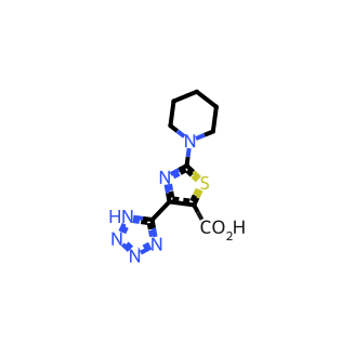 O=C(O)c1sc(N2CCCCC2)nc1-c1nnn[nH]1